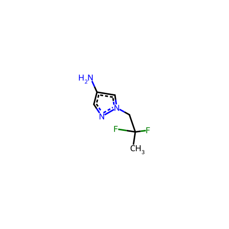 CC(F)(F)Cn1cc(N)cn1